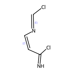 N=C(Cl)/C=C\N=C\Cl